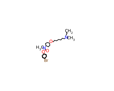 C=CCN(C)CCCCCCCOC1CCC(N(C)C(=O)Oc2ccc(Br)cc2)CC1